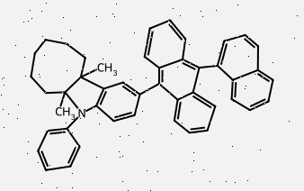 CC12CCCCCCC1(C)N(c1ccccc1)c1ccc(-c3c4ccccc4c(-c4cccc5ccccc45)c4ccccc34)cc12